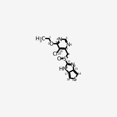 CCOc1ncnc(C[S+]([O-])c2nc3cscc3[nH]2)c1Cl